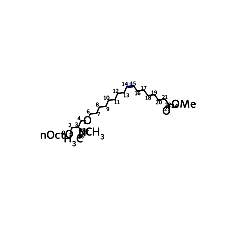 CCCCCCCCOCC(COCCCCCCCC/C=C\CCCCCCC(=O)OC)N(C)C